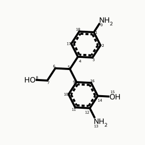 Nc1ccc(C(CCO)c2ccc(N)c(O)c2)cc1